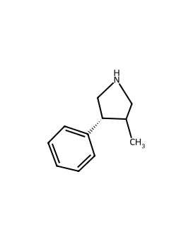 CC1CNC[C@H]1c1ccccc1